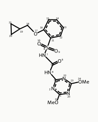 COc1nc(NC(=O)NS(=O)(=O)c2ccccc2OCC2CC2)nc(OC)n1